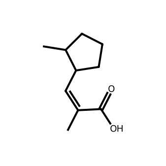 CC(=CC1CCCC1C)C(=O)O